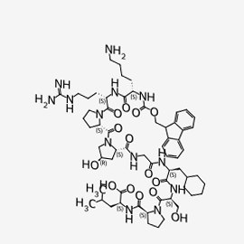 CC(C)C[C@H](NC(=O)[C@@H]1CCCN1C(=O)[C@H](CO)NC(=O)[C@H](CC1CCCCC1)NC(=O)CNC(=O)[C@@H]1C[C@@H](O)CN1C(=O)[C@@H]1CCCN1C(=O)[C@H](CCCNC(=N)N)NC(=O)[C@H](CCCCN)NC(=O)OCC1c2ccccc2-c2ccccc21)C(=O)O